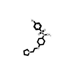 CN(C1CCC(OCCN2CCCC2)CC1)S(=O)(=O)c1ccc(Br)cc1